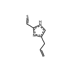 C=CCc1c[nH]c(C=S)n1